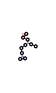 c1ccc(-c2ccc(N(c3ccc(-c4cccc(-c5ccc(-n6c7ccccc7c7ccccc76)cc5)c4)cc3)c3cccc(-c4cccc5oc6ccccc6c45)c3)cc2)cc1